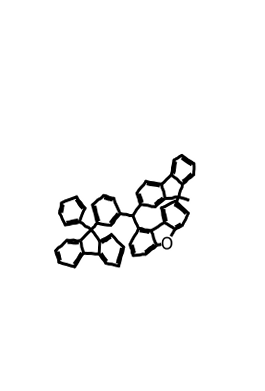 CC1(C)c2ccccc2-c2ccc(C(c3cccc(C4(c5ccccc5)c5ccccc5-c5ccccc54)c3)c3cccc4oc5ccccc5c34)cc21